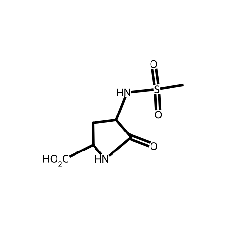 CS(=O)(=O)NC1CC(C(=O)O)NC1=O